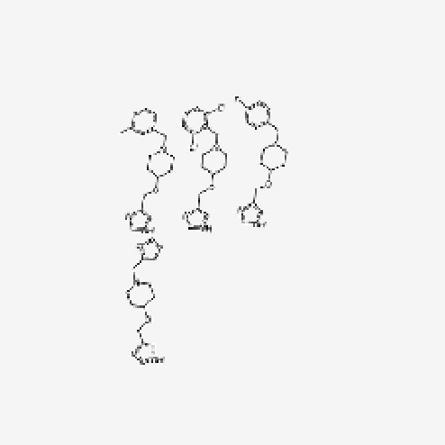 Cc1cccc(CN2CCC(OCc3c[nH]cn3)CC2)c1.Clc1cccc(Cl)c1CN1CCC(OCc2c[nH]cn2)CC1.Fc1ccc(CN2CCC(OCc3c[nH]cn3)CC2)cc1.c1coc(CN2CCC(OCc3c[nH]cn3)CC2)c1